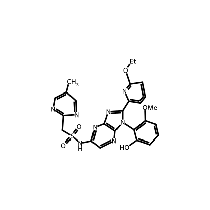 CCOC1=NC(c2nc3nc(NS(=O)(=O)Cc4ncc(C)cn4)cnc3n2-c2c(O)cccc2OC)=C=C=C1